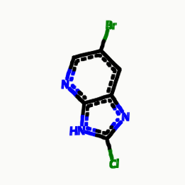 Clc1nc2cc(Br)cnc2[nH]1